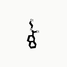 CC/C=C/N=C(\CC)c1ccc2ccccc2c1